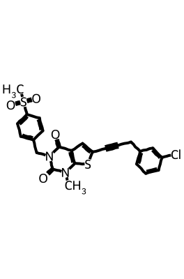 Cn1c(=O)n(Cc2ccc(S(C)(=O)=O)cc2)c(=O)c2cc(C#CCc3cccc(Cl)c3)sc21